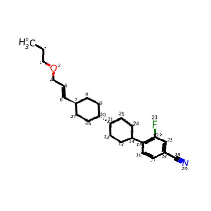 CCCOC/C=C/[C@H]1CC[C@H](C2CCC(c3ccc(C#N)cc3F)CC2)CC1